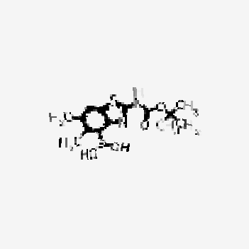 Cc1cc2sc(NC(=O)OC(C)(C)C)nc2c(B(O)O)c1C